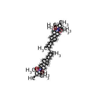 C#Cc1cc(C(C)C)c(N2C(=O)c3ccc4c5c(ccc(c35)C2=O)C2=CC=C3c5cc6cc(CCc7cc8cc9c(cc8cc7C)-c7ccc8c%10ccc%11c%12c(ccc(c%13ccc-9c7c8%13)c%12%10)C(=O)N(c7c(C(C)C)cc(C)cc7C(C)C)C%11=O)c(C)cc6cc5C5=CC=C4C2C53)c(C(C)C)c1